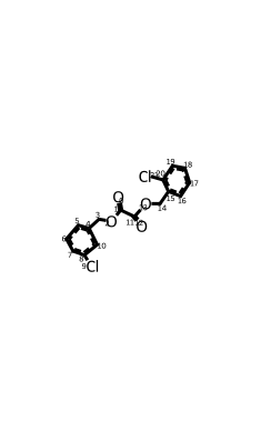 O=C(OCc1cccc(Cl)c1)C(=O)OCc1ccccc1Cl